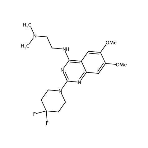 COc1cc2nc(N3CCC(F)(F)CC3)nc(NCCN(C)C)c2cc1OC